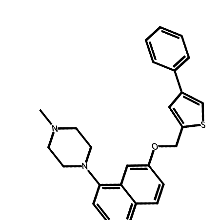 CN1CCN(c2cccc3ccc(OCc4cc(-c5ccccc5)cs4)cc23)CC1